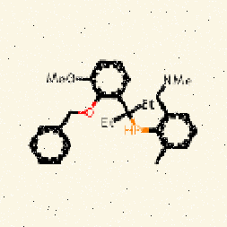 CCC(CC)(Pc1c(C)cccc1CNC)c1cccc(OC)c1OCc1ccccc1